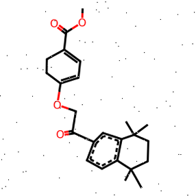 COC(=O)C1=CC=C(OCC(=O)c2ccc3c(c2)C(C)(C)CCC3(C)C)CC1